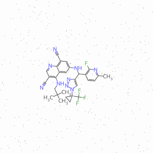 Cc1ccc(C(Nc2cc(C#N)c3ncc(C#N)c(NCC(C)(C)C)c3c2)c2cn(C3(C(F)(F)F)CC3)nn2)c(F)n1